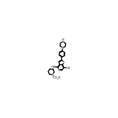 N#Cc1cnc(N[C@H]2CCCN(C(=O)O)C2)c2cc(-c3ccc(N4CCNCC4)cc3)sc12